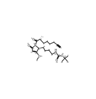 C#CCCCC[C@@H](C)C(=O)N1C(=O)C=C(OC)[C@@H]1CCCCNC(=O)OC(C)(C)C